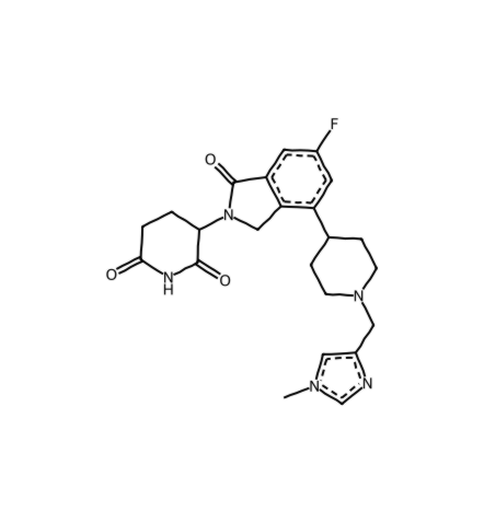 Cn1cnc(CN2CCC(c3cc(F)cc4c3CN(C3CCC(=O)NC3=O)C4=O)CC2)c1